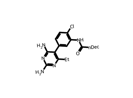 CCCCCCCCCCC(=O)Nc1cc(-c2c(N)nc(N)nc2CC)ccc1Cl